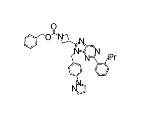 CC(C)c1ccccc1-c1ncc2nc(C3CN(C(=O)OCc4ccccc4)C3)n(Cc3ccc(-n4cccn4)cc3)c2n1